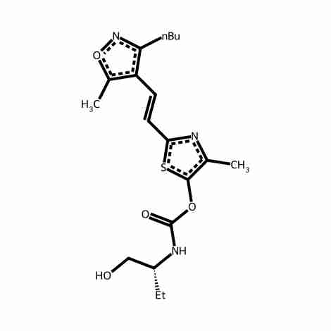 CCCCc1noc(C)c1/C=C/c1nc(C)c(OC(=O)N[C@H](CC)CO)s1